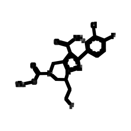 CC(C)(C)OC(=O)N1Cc2c(C(N)=O)c(-c3ccc(F)c(Cl)c3)nn2C(CCF)C1